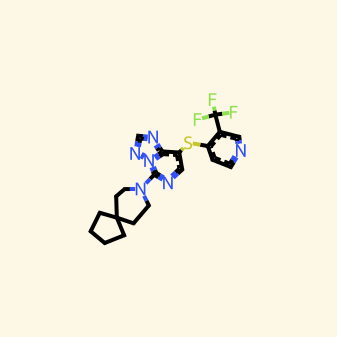 FC(F)(F)c1cnccc1Sc1cnc(N2CCC3(CCCC3)CC2)n2ncnc12